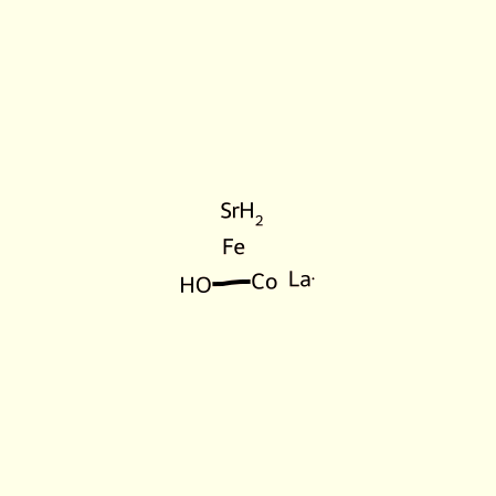 [Fe].[La].[OH][Co].[SrH2]